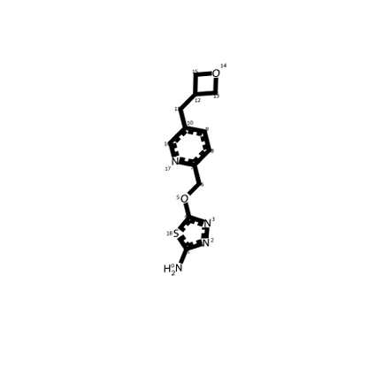 Nc1nnc(OCc2ccc(CC3COC3)cn2)s1